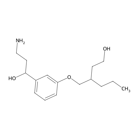 CCCC(CCO)COc1cccc(C(O)CCN)c1